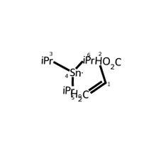 C=CC(=O)O.C[CH](C)[Sn]([CH](C)C)[CH](C)C